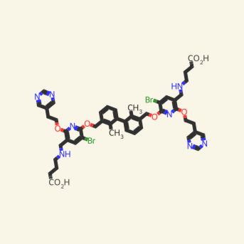 Cc1c(COc2nc(OCCc3cncnc3)c(CNCCCC(=O)O)cc2Br)cccc1-c1cccc(COc2nc(OCCc3cncnc3)c(CNCCCC(=O)O)cc2Br)c1C